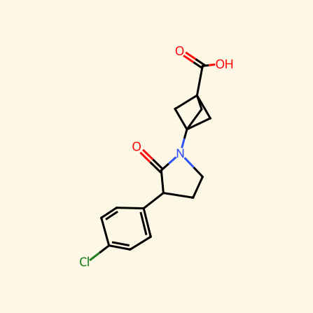 O=C1C(c2ccc(Cl)cc2)CCN1C12CC(C(=O)O)(C1)C2